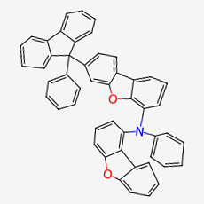 c1ccc(N(c2cccc3c2oc2cc(C4(c5ccccc5)c5ccccc5-c5ccccc54)ccc23)c2cccc3oc4ccccc4c23)cc1